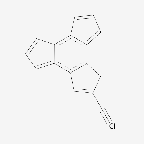 C#CC1=Cc2c(c3c(c4c2=CC=C4)C=CC=3)C1